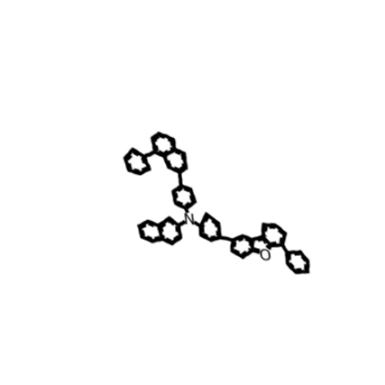 c1ccc(-c2cccc3ccc(-c4ccc(N(c5ccc(-c6ccc7oc8c(-c9ccccc9)cccc8c7c6)cc5)c5ccc6ccccc6c5)cc4)cc23)cc1